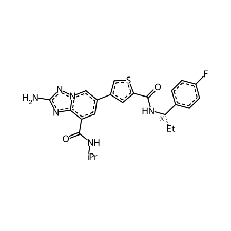 CC[C@H](NC(=O)c1cc(-c2cc(C(=O)NC(C)C)c3nc(N)nn3c2)cs1)c1ccc(F)cc1